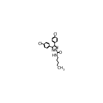 CCCCCNC(=O)n1nc(-c2ccc(Cl)cc2)c(-c2ccc(Cl)cc2)n1